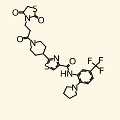 O=C(Nc1cc(C(F)(F)F)ccc1N1CCCC1)c1csc(C2CCN(C(=O)CCN3C(=O)CSC3=O)CC2)n1